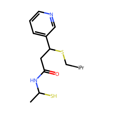 CC(C)CSC(CC(=O)NC(C)S)c1cccnc1